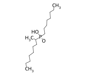 CCCCCCCCP(=O)(O)C(C)CCCCCCC